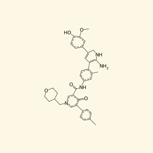 COc1cc(C2=CC(c3ccc(NC(=O)c4cn(CC5CCOCC5)cc(-c5ccc(C)cc5)c4=O)cc3C)=C(N)NC2)ccc1O